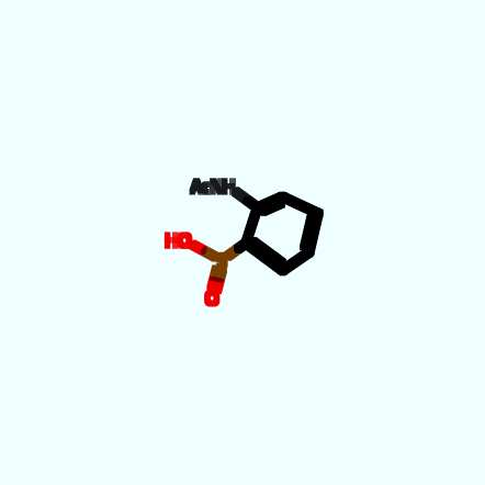 CC(=O)Nc1ccccc1S(=O)O